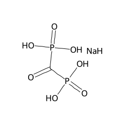 O=C(P(=O)(O)O)P(=O)(O)O.[NaH]